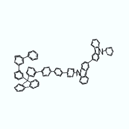 c1ccc(-c2cccc(-c3cccc(C4(c5cccc(-c6ccc(-c7ccc(-c8ccc(-n9c%10ccccc%10c%10cc(-c%11ccc%12c(c%11)c%11ccccc%11n%12-c%11ccccc%11)ccc%109)cc8)cc7)cc6)c5)c5ccccc5-c5ccccc54)c3)c2)cc1